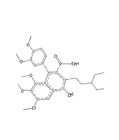 CCC(CC)CCc1c(C(=O)O)c(-c2ccc(OC)c(OC)c2)c2c(OC)c(OC)c(OC)cc2c1O